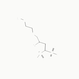 CCSCCOCC(N)CC(S(=O)(=O)C(F)(F)F)S(=O)(=O)C(F)(F)F